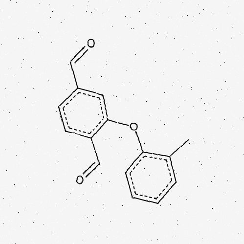 Cc1ccccc1Oc1cc(C=O)ccc1C=O